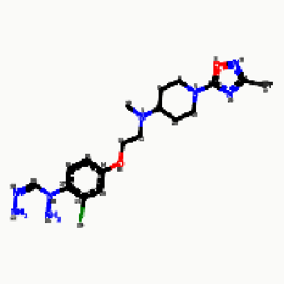 CC(C)c1noc(N2CCC(N(C)CCOc3ccc(N(N)/C=N\N)c(F)c3)CC2)n1